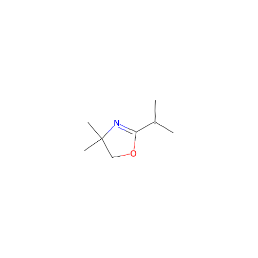 C[C](C)C1=NC(C)(C)CO1